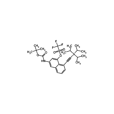 CC(C)[Si](C#Cc1cccc2cc(NC(=O)OC(C)(C)C)cc(OS(=O)(=O)C(F)(F)F)c12)(C(C)C)C(C)C